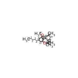 CCCCCc1cc(OC)c2c(c1)OC(C)(C)[C@@H]1CCC(C)=C[C@@H]21